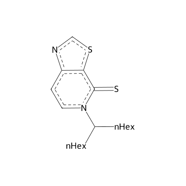 CCCCCCC(CCCCCC)n1ccc2ncsc2c1=S